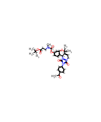 CC(=O)c1ccc(-n2c(=O)n3n(c2=O)C2C(=CC3)C(C)(C)Oc3cc(OC(=O)N(C)CCC(=O)OC(C)(C)C)ccc32)cc1